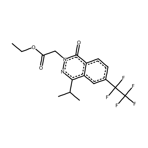 CCOC(=O)Cn1nc(C(C)C)c2cc(C(F)(F)C(F)(F)F)ccc2c1=O